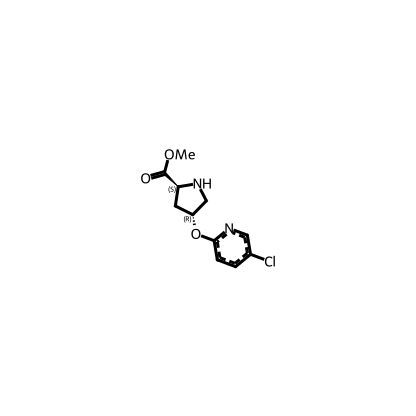 COC(=O)[C@@H]1C[C@@H](Oc2ccc(Cl)cn2)CN1